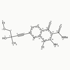 CCOCC(C)(O)C#Cc1ccc2c(=O)c(C(=O)NC)c(N)n(CC)c2n1